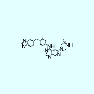 Cc1cc(Nc2ncnc3cnc(N4CCN[C@H](C)C4)cc23)ccc1Cc1ccc2c(c1)ncn2C